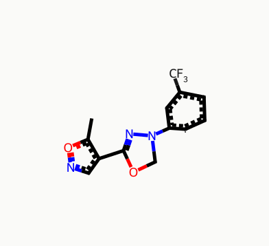 Cc1oncc1C1=NN(c2[c]ccc(C(F)(F)F)c2)CO1